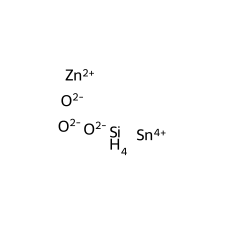 [O-2].[O-2].[O-2].[SiH4].[Sn+4].[Zn+2]